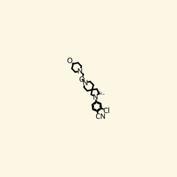 C[C@H]1CC2(CCN(OCN3CCC(=O)CC3)CC2)CN1c1ccc(C#N)c(Cl)c1